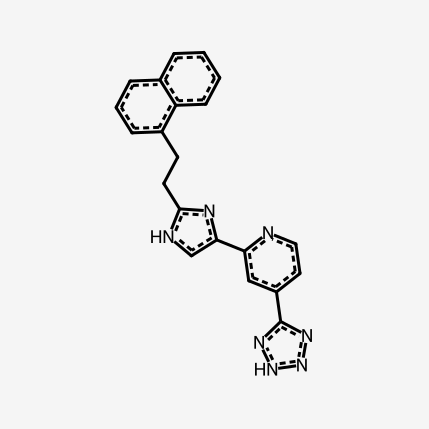 c1ccc2c(CCc3nc(-c4cc(-c5nn[nH]n5)ccn4)c[nH]3)cccc2c1